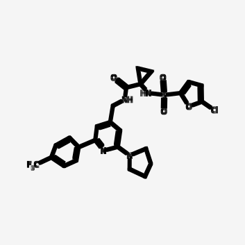 O=C(NCc1cc(-c2ccc(C(F)(F)F)cc2)nc(N2CCCC2)c1)C1(NS(=O)(=O)c2ccc(Cl)o2)CC1